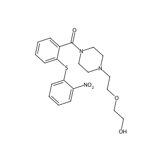 O=C(c1ccccc1Sc1ccccc1[N+](=O)[O-])N1CCN(CCOCCO)CC1